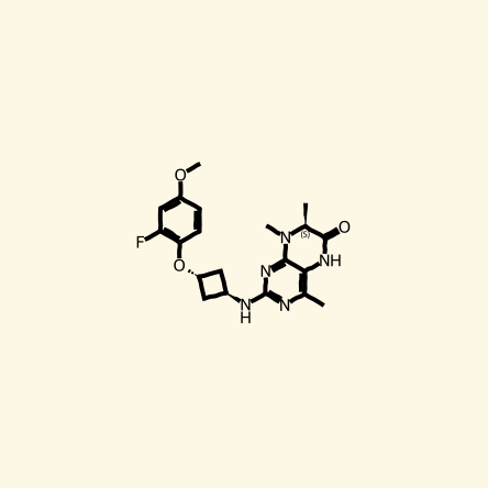 COc1ccc(O[C@H]2C[C@H](Nc3nc(C)c4c(n3)N(C)[C@@H](C)C(=O)N4)C2)c(F)c1